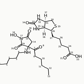 CCCCCNC1(C(=O)CCCCC)CC(=O)N(O)C1=O.O=C(O)CCCC[C@@H]1SC[C@@H]2NC(=O)N[C@@H]21